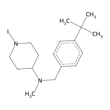 CN(Cc1ccc(C(C)(C)C)cc1)C1CCN(I)CC1